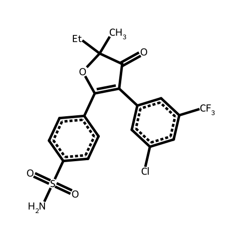 CCC1(C)OC(c2ccc(S(N)(=O)=O)cc2)=C(c2cc(Cl)cc(C(F)(F)F)c2)C1=O